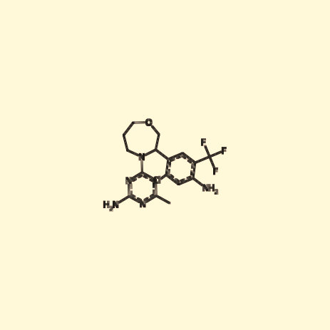 Cc1cc(N2CCCOCC2c2cc(C(F)(F)F)c(N)cc2Cl)nc(N)n1